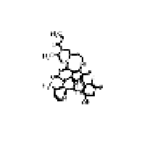 C=CC(=O)N1CC2CCNc3c(F)c(-c4cc(O)cc(F)c4F)c(Cl)c4c3c(nc(=O)n4-c3c(C)ccnc3C(C)C)N2CC1C